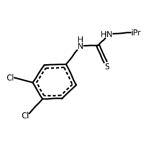 CC(C)NC(=S)Nc1ccc(Cl)c(Cl)c1